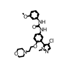 COc1cccc(NC(=O)Nc2ccc(OCCN3CCOCC3)c(-c3c(Cl)cnn3C)c2)c1